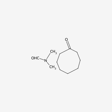 CN(C)C=O.O=C1CCCCCCC1